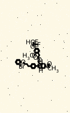 COc1ccccc1CC(=O)OCC1=C(c2ccc(CCCOc3ccccc3Br)cc2)C[C@@H]2CN(C(C)=O)C[C@H]1N2.O=C(O)C(F)(F)F